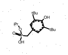 CC(C)OP(=O)(O)Cc1cc(C(C)(C)C)c(O)c(C(C)(C)C)c1